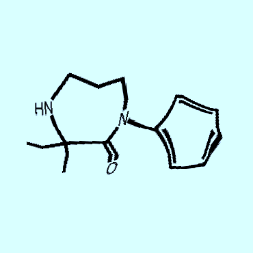 CC1(C)NCCN(c2ccccc2)C1=O